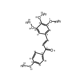 CCCOc1cc(C=CC(=O)c2ccc(SCCC)cc2)cc(OCCC)c1OCCC